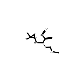 C=C(N=O)[C@H](CCSC)NC1CC1(C)C